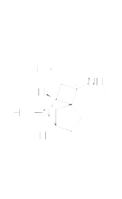 C[C@@H]1C(N)C23CC[C@H](C2)N(C)[C@H]13